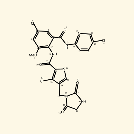 COc1cc(Cl)cc(C(=O)Nc2ccc(Cl)cn2)c1NC(=O)c1scc(CN2C(=O)CNC2=O)c1Cl